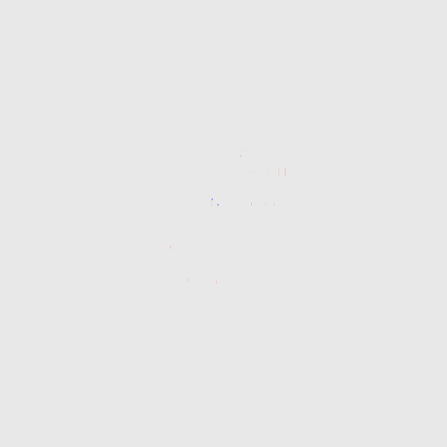 CCn1cc(C(=O)O)c(=O)cc1-c1cc(OC)c(OC)c(OC)c1